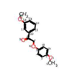 COc1ccc(OCC(=O)c2cccc(OC)c2)cc1